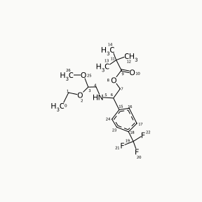 CCOC(CNC(COC(=O)C(C)(C)C)c1ccc(C(F)(F)F)cc1)OC